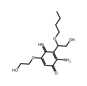 CCCCOC(CO)C1=C(N)C(=O)C=C(OCCO)C1=N